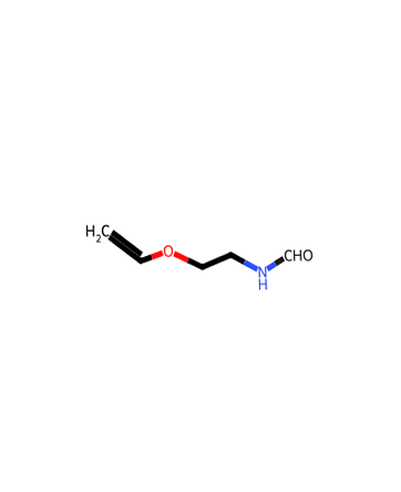 C=COCCNC=O